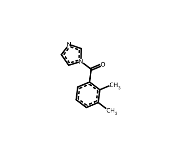 Cc1cccc(C(=O)n2ccnc2)c1C